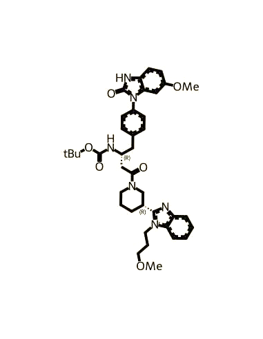 COCCCn1c([C@@H]2CCCN(C(=O)C[C@@H](Cc3ccc(-n4c(=O)[nH]c5ccc(OC)cc54)cc3)NC(=O)OC(C)(C)C)C2)nc2ccccc21